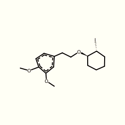 COc1ccc(CCO[C@@H]2CCCC[C@H]2I)cc1OC